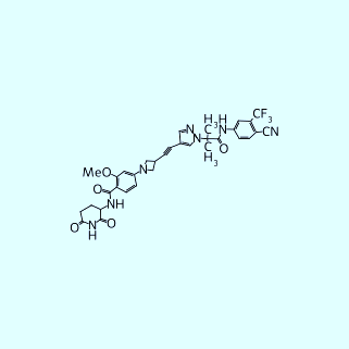 COc1cc(N2CC(C#Cc3cnn(C(C)(C)C(=O)Nc4ccc(C#N)c(C(F)(F)F)c4)c3)C2)ccc1C(=O)NC1CCC(=O)NC1=O